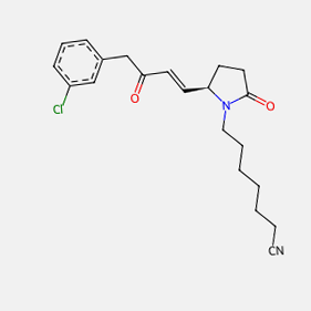 N#CCCCCCCN1C(=O)CC[C@@H]1C=CC(=O)Cc1cccc(Cl)c1